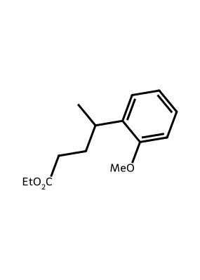 CCOC(=O)CCC(C)c1ccccc1OC